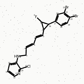 FC1C(/C=C/C=C/CNc2cccnc2Cl)C1c1ccc(Br)c(Br)c1